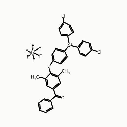 Cc1cc(C(=O)c2ccccc2)cc(C)c1Sc1ccc([S+](c2ccc(Cl)cc2)c2ccc(Cl)cc2)cc1.[F][Sb-]([F])([F])([F])([F])[F]